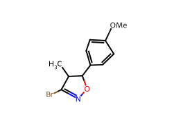 COc1ccc(C2ON=C(Br)C2C)cc1